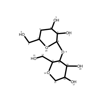 OCC1CC(O)C(O)C(OC2C(CO)OCC(O)C2O)O1